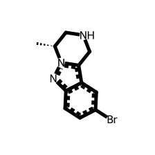 C[C@@H]1CNCc2c3cc(Br)ccc3nn21